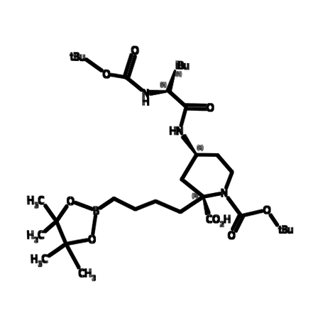 CC[C@H](C)[C@H](NC(=O)OC(C)(C)C)C(=O)N[C@H]1CCN(C(=O)OC(C)(C)C)[C@@](CCCCB2OC(C)(C)C(C)(C)O2)(C(=O)O)C1